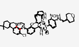 CC1(C)CCC(CN2CCN(c3cccc(C(=O)NS(=O)(=O)c4ccc(NCC5CCOCC5)c([N+](=O)[O-])c4)c3Oc3cnc4[nH]ccc4c3)CC2)=C(c2ccc(Cl)cc2C(F)(F)F)C1